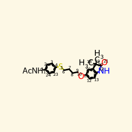 CC(=O)Nc1ccc(SCCCCOc2ccc3c(c2)C(C)(C)C(=O)N3)cc1